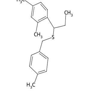 CCC(SCc1ccc(C)cc1)c1ccc(C)cc1C